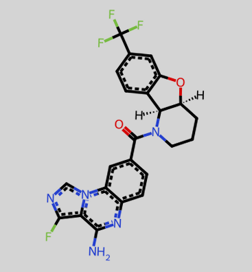 Nc1nc2ccc(C(=O)N3CCC[C@@H]4Oc5cc(C(F)(F)F)ccc5[C@@H]43)cc2n2cnc(F)c12